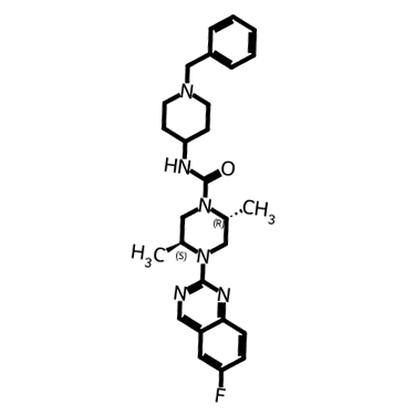 C[C@@H]1CN(c2ncc3cc(F)ccc3n2)[C@@H](C)CN1C(=O)NC1CCN(Cc2ccccc2)CC1